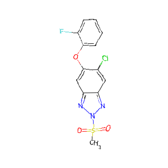 CS(=O)(=O)n1nc2cc(Cl)c(Oc3ccccc3F)cc2n1